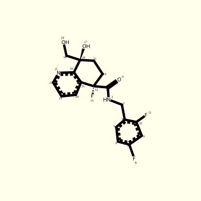 O=C(NCc1ccc(F)cc1F)[C@]1(F)CC[C@@](O)(CO)c2ncccc21